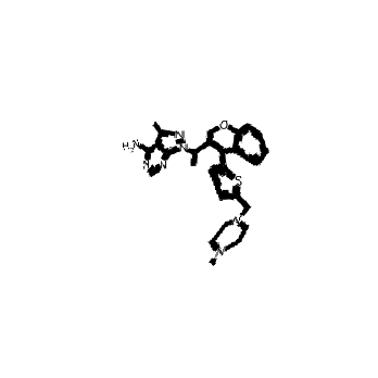 Cc1nn(C(C)C2=C(c3ccc(CN4CCN(C)CC4)s3)c3ccccc3OC2)c2ncnc(N)c12